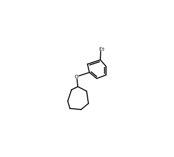 C[CH]c1cccc(OC2CCCCCC2)c1